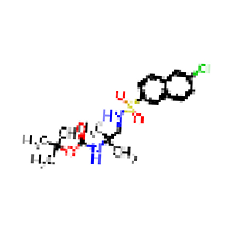 CC(C)(CNS(=O)(=O)c1ccc2cc(Cl)ccc2c1)NC(=O)OC(C)(C)C